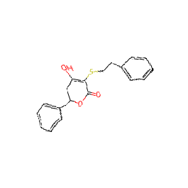 O=C1OC(c2ccccc2)CC(O)=C1SCCc1ccccc1